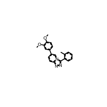 COc1ccc(-c2ccc3nnc(-c4ccccc4C)n3c2)cc1OC